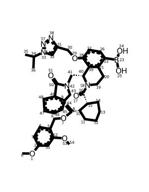 COc1ccc(COC(=O)[C@H]2CCCC[C@H]2C(=O)N2CCc3c(B(O)O)ccc(OCc4cn(C(C)C)nn4)c3[C@H]2CN2Cc3ccccc3C2=O)c(OC)c1